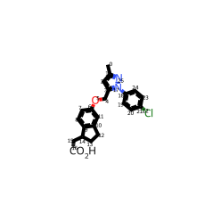 Cc1cc(COc2ccc3c(c2)CCC3CC(=O)O)n(-c2ccc(Cl)cc2)n1